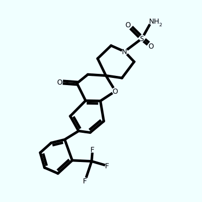 NS(=O)(=O)N1CCC2(CC1)CC(=O)c1cc(-c3ccccc3C(F)(F)F)ccc1O2